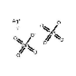 [Ag+].[K+].[O]=[Mn](=[O])(=[O])[O-].[O]=[Mn](=[O])(=[O])[O-]